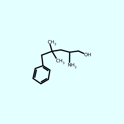 CC(C)(Cc1ccccc1)CC(N)CO